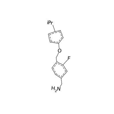 CC(C)c1ccc(OCc2ccc(CN)cc2F)cc1